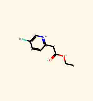 CCOC(=O)Cc1ccc(F)cn1